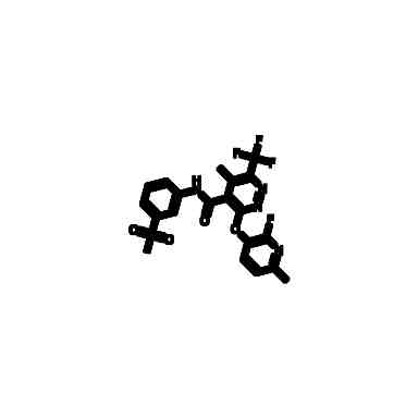 Cc1ccc(Oc2nnc(C(F)(F)F)c(C)c2C(=O)Nc2cccc(S(C)(=O)=O)c2)c(F)n1